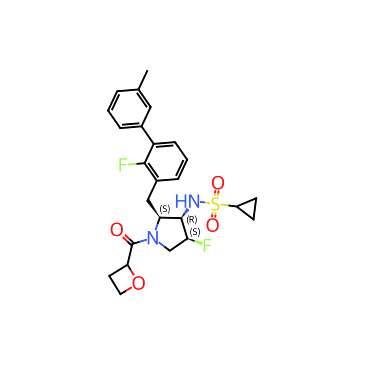 Cc1cccc(-c2cccc(C[C@H]3[C@@H](NS(=O)(=O)C4CC4)[C@@H](F)CN3C(=O)C3CCO3)c2F)c1